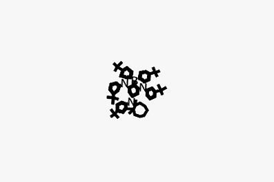 CC(C)(C)c1cccc(N2c3cc(C(C)(C)C)ccc3B3c4ccc(C(C)(C)C)cc4N(c4cccc(C(C)(C)C)c4)c4cc(N5c6ccc(C(C)(C)C)cc6C6(C)CCCCCCC56C)cc2c43)c1